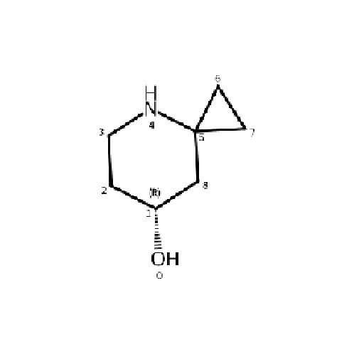 O[C@@H]1CCNC2(CC2)C1